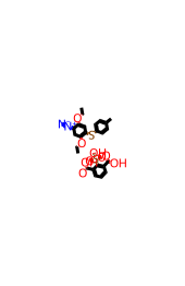 CCOC1=CC(Sc2ccc(C)cc2)=C(OCC)CC1=[N+]=[N-].O=C(O)c1cccc(C(=O)O)c1S(=O)(=O)O